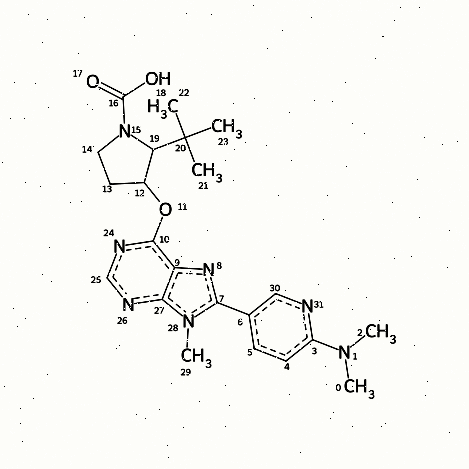 CN(C)c1ccc(-c2nc3c(OC4CCN(C(=O)O)C4C(C)(C)C)ncnc3n2C)cn1